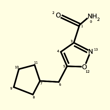 NC(=O)c1cc(CC2CCCC2)on1